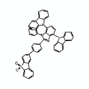 O=S1(=O)c2ccccc2-c2cc(-c3ccc(-c4nc5c(-n6c7ccccc7c7ccccc76)ccc(-n6c7ccccc7c7ccccc76)c5n4-c4ccccc4)cc3)ccc21